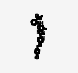 COC(=O)C1=C(NC(=O)CC(C)c2nc(-c3ccc(OCc4ccc(OC)cc4)cn3)no2)CCCC1